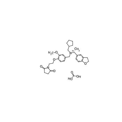 COc1cc(CN(CC2CCCC2)[C@H](C)c2ccc3c(c2)CCO3)ccc1OCCN1C(=O)CCC1=O.O=C(O)O